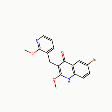 COc1ncccc1Cc1c(OC)[nH]c2ccc(Br)cc2c1=O